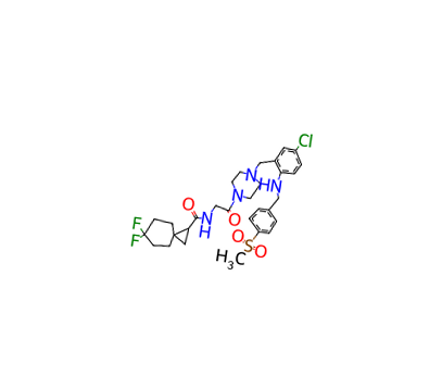 CS(=O)(=O)c1ccc(CNc2ccc(Cl)cc2CN2CCN(C(=O)CNC(=O)C3CC34CCC(F)(F)CC4)CC2)cc1